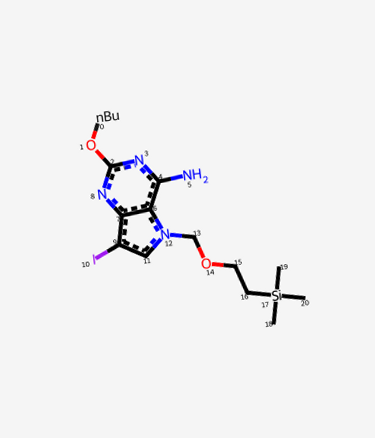 CCCCOc1nc(N)c2c(n1)c(I)cn2COCC[Si](C)(C)C